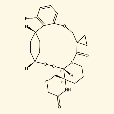 O=C1COC[C@@]2(CCCN3C(=O)C4(CC4)COc4cccc(F)c4[C@H]4CC[C@H](CC4)OC[C@H]32)N1